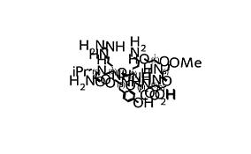 COCC[C@H](NC(=O)[C@@H](C)CO)C(=O)N[C@H](C(=O)N[C@@H](CC(=O)O)C(=O)N[C@@H](CCCCN)C(=O)N[C@@H](Cc1ccc(O)cc1)C(=O)N[C@@H](CCCNC(=N)N)C(=O)N[C@@H](CC(C)C)C(N)=O)[C@@H](C)O